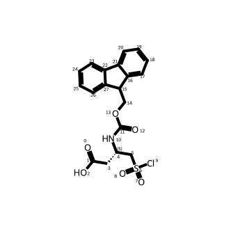 O=C(O)C[C@@H](CS(=O)(=O)Cl)NC(=O)OCC1c2ccccc2-c2ccccc21